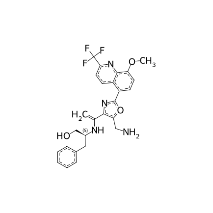 C=C(N[C@H](CO)Cc1ccccc1)c1nc(-c2ccc(OC)c3nc(C(F)(F)F)ccc23)oc1CN